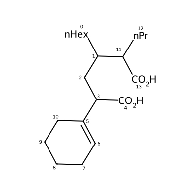 CCCCCCC(CC(C(=O)O)C1=CCCCC1)C(CCC)C(=O)O